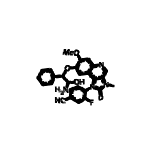 COc1cc2ncc3c(c2cc1OC(c1ccccc1)C(N)O)n(-c1ccc(C#N)cc1F)c(=O)n3C